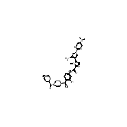 CN(C)c1cnc(-n2cc(-c3cnc(C(=O)Nc4ccc(C(=O)N5CCN(C(=O)C6CCNCC6)CC5)c(Cl)c4)n3C)c(C(F)(F)F)n2)nc1